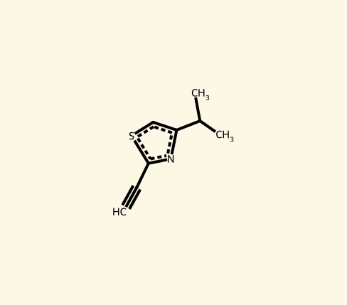 C#Cc1nc(C(C)C)cs1